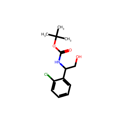 CC(C)(C)OC(=O)NC(CO)c1ccccc1Cl